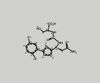 NC(=O)C[C@H](N[Si](=O)N[C@@H](CO)C(=O)O)c1nc(-c2cc(F)ccc2F)no1